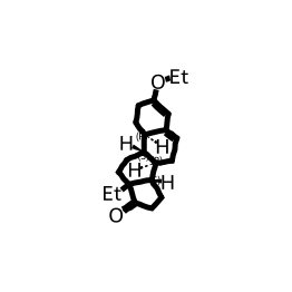 CCOC1=CC2=CC[C@@H]3[C@H](CCC4(CC)C(=O)CC[C@@H]34)[C@H]2CC1